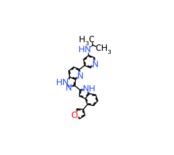 CC(C)Nc1cncc(-c2ccc3[nH]nc(-c4cc5c(-c6ccoc6)cccc5[nH]4)c3n2)c1